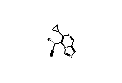 C#C[C@H](O)c1c(C2CC2)ncc2cncn12